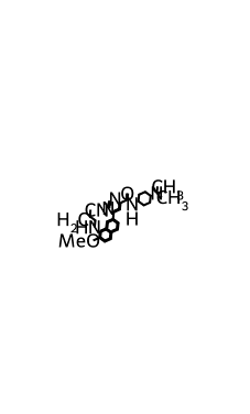 C=C(C#N)CNc1c(OC)ccc2ccc(-c3cc(C(=O)N[C@H]4CC[C@H](N(C)C)CC4)ncn3)cc12